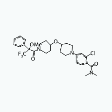 COC(C(=O)N1CCC(OC2CCN(c3ccc(C(=O)N(C)C)c(Cl)c3)CC2)CC1)(c1ccccc1)C(F)(F)F